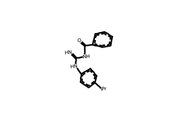 CC(C)c1ccc(NC(=N)NC(=O)c2ccccc2)cc1